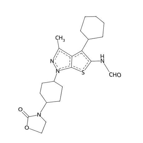 Cc1nn(C2CCC(N3CCOC3=O)CC2)c2sc(NC=O)c(C3CCCCC3)c12